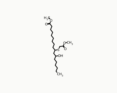 CCCCCCC(O)CC(CCCCCCCCC(=O)OC)SCC(=O)OC